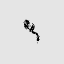 COc1cc(S(C)(=O)=O)ccc1N(C(=O)OCOC(=O)[C@@H](NC(=O)OC(C)(C)C)C(C)C)c1nc2ccc(-c3ccc(NC(=O)Cc4ccc(F)cc4)cc3)cn2n1